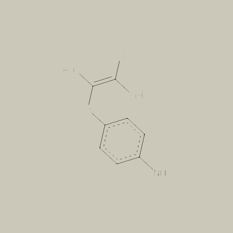 CC([SiH3])=C(C)Oc1ccc(N)cc1